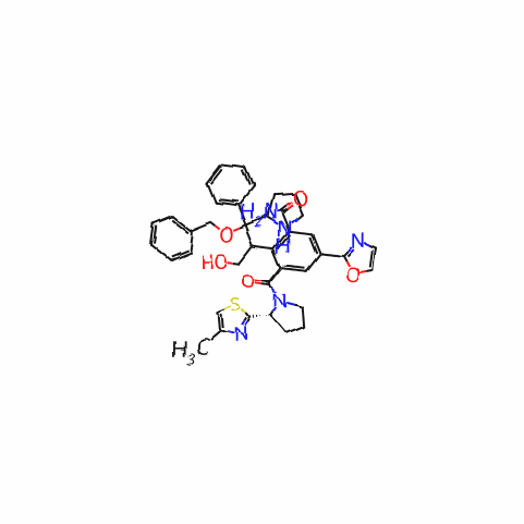 Cc1csc([C@H]2CCCN2C(=O)c2cc(-c3ncco3)cc(C(N)=O)c2C(CO)C(OCc2ccccc2)(c2ccccc2)C2CCCN2)n1